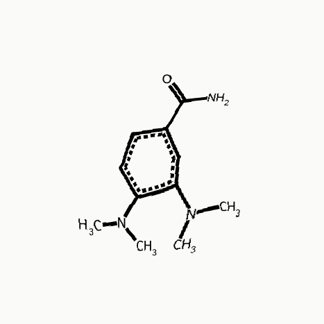 CN(C)c1ccc(C(N)=O)cc1N(C)C